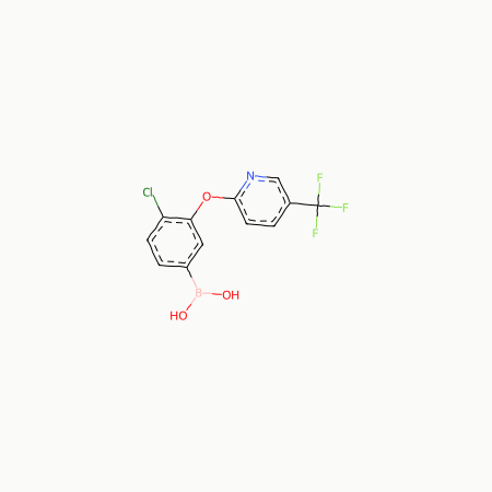 OB(O)c1ccc(Cl)c(Oc2ccc(C(F)(F)F)cn2)c1